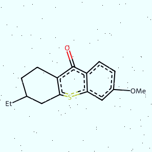 CCC1CCc2c(sc3cc(OC)ccc3c2=O)C1